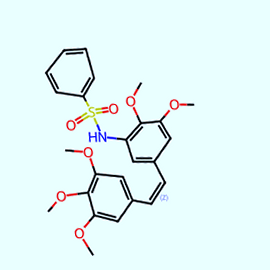 COc1cc(/C=C\c2cc(OC)c(OC)c(OC)c2)cc(NS(=O)(=O)c2ccccc2)c1OC